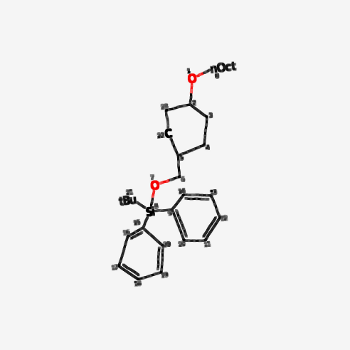 CCCCCCCCOC1CCC(CO[Si](c2ccccc2)(c2ccccc2)C(C)(C)C)CC1